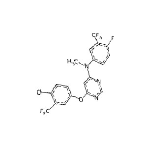 CN(c1ccc(F)c(C(F)(F)F)c1)c1cc(Oc2ccc(Cl)c(C(F)(F)F)c2)ncn1